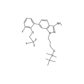 CC(C)(C)[Si](C)(C)OCCCn1nc(N)c2ccc(-c3cccc(F)c3OCC(F)(F)F)cc21